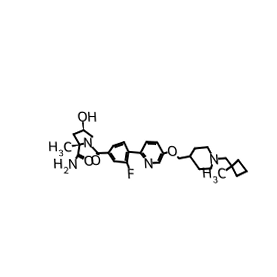 CC1(CN2CCC(COc3ccc(-c4ccc(C(=O)N5C[C@H](O)C[C@@]5(C)C(N)=O)cc4F)nc3)CC2)CCC1